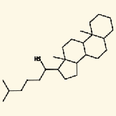 CC(C)CCCC(S)C1CCC2C3CCC4CCCCC4(C)C3CCC12C